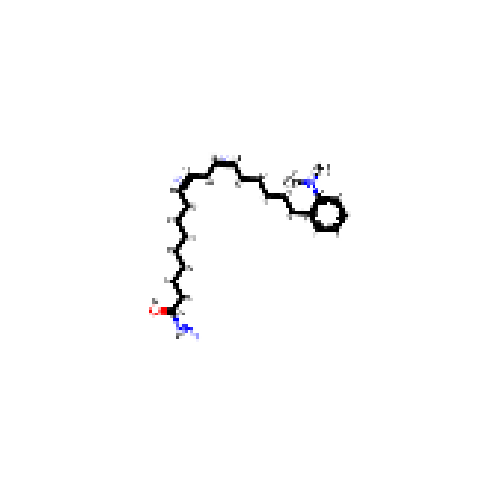 CCN(CC)c1ccccc1CCCCC/C=C\C/C=C\CCCCCCCC(N)=O